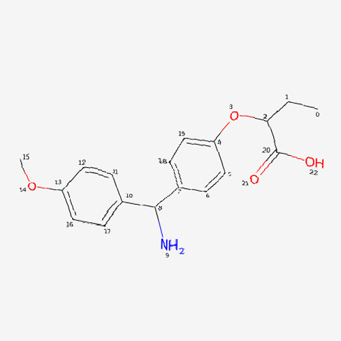 CCC(Oc1ccc(C(N)c2ccc(OC)cc2)cc1)C(=O)O